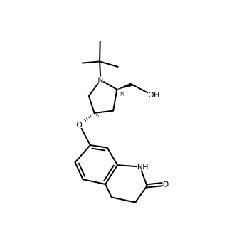 CC(C)(C)N1C[C@@H](Oc2ccc3c(c2)NC(=O)CC3)C[C@@H]1CO